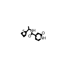 CC(NC(=O)c1cc[nH]c(=O)c1)c1cccs1